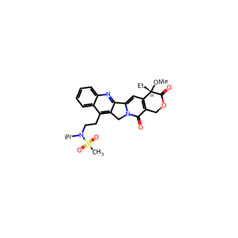 CC[C@@]1(OC)C(=O)OCc2c1cc1n(c2=O)Cc2c-1nc1ccccc1c2CCN(C(C)C)S(C)(=O)=O